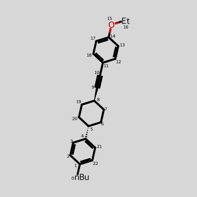 CCCCc1ccc([C@H]2CC[C@H](C#Cc3ccc(OCC)cc3)CC2)cc1